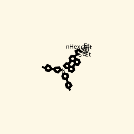 CCCCCCc1cc(-c2ccc3c4ccc(N(c5ccc(-c6ccc(C)cc6)cc5)c5ccc(-c6ccc(C)cc6)cc5)c5cccc(c6cccc2c63)c54)sc1[Si](OCC)(OCC)OCC